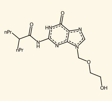 CCCC(CCC)C(=O)Nc1nc2c(ncn2COCCO)c(=O)[nH]1